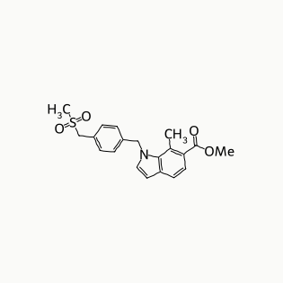 COC(=O)c1ccc2ccn(Cc3ccc(CS(C)(=O)=O)cc3)c2c1C